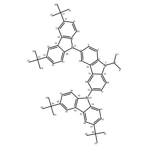 CC(C)n1c2ccc(-n3c4ccc(C(C)(C)C)cc4c4cc(C(C)(C)C)ccc43)cc2c2cc(-n3c4ccc(C(C)(C)C)cc4c4cc(C(C)(C)C)ccc43)ccc21